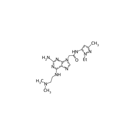 CCn1nc(C)cc1NC(=O)Cn1cnc2c(NCCN(C)C)nc(N)nc21